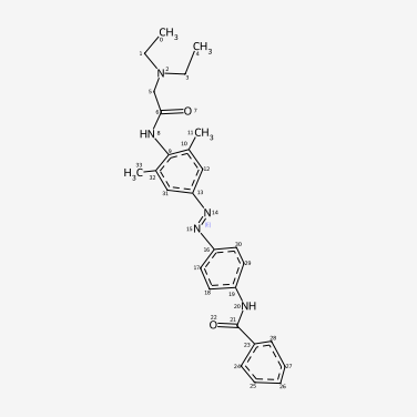 CCN(CC)CC(=O)Nc1c(C)cc(/N=N/c2ccc(NC(=O)c3ccccc3)cc2)cc1C